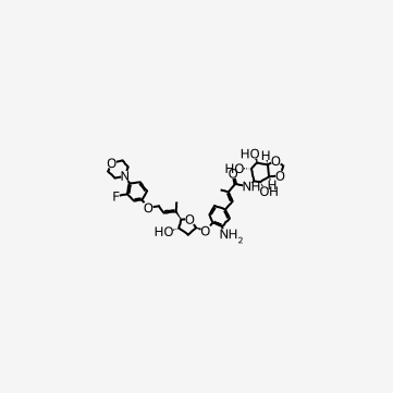 CC(=Cc1ccc(O[C@H]2C[C@H](O)[C@@H](C(C)=CCOc3ccc(N4CCOCC4)c(F)c3)O2)c(N)c1)C(=O)N[C@@H]1[C@H](O)[C@@H](O)[C@H]2OCO[C@H]2[C@@H]1O